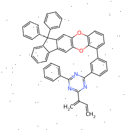 C=CC(=C)c1nc(-c2ccccc2)nc(-c2cccc(-c3cccc4c3Oc3cc5c(cc3O4)C(c3ccccc3)(c3ccccc3)c3ccccc3-5)c2)n1